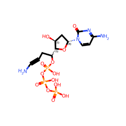 NC#CCC(OP(=O)(O)OP(=O)(O)OP(=O)(O)O)[C@H]1O[C@@H](n2ccc(N)nc2=O)C[C@@H]1O